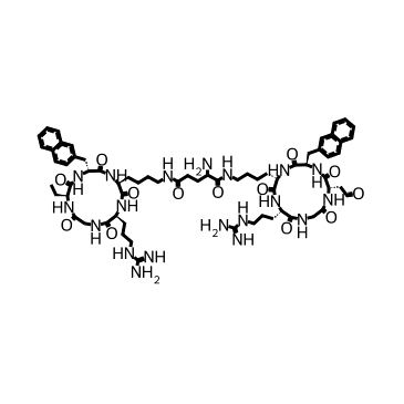 CC[C@@H]1NC(=O)CNC(=O)[C@H](CCCNC(=N)N)NC(=O)[C@H](CCCCNC(=O)CCC(N)C(=O)NCCCC[C@@H]2NC(=O)[C@@H](Cc3ccc4ccccc4c3)NC(=O)[C@H](CC=O)NC(=O)CNC(=O)[C@H](CCCNC(=N)N)NC2=O)NC(=O)[C@@H](Cc2ccc3ccccc3c2)NC1=O